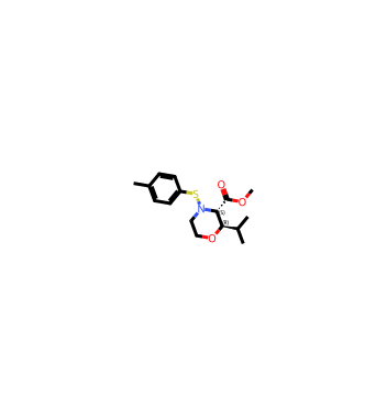 COC(=O)[C@@H]1[C@@H](C(C)C)OCCN1Sc1ccc(C)cc1